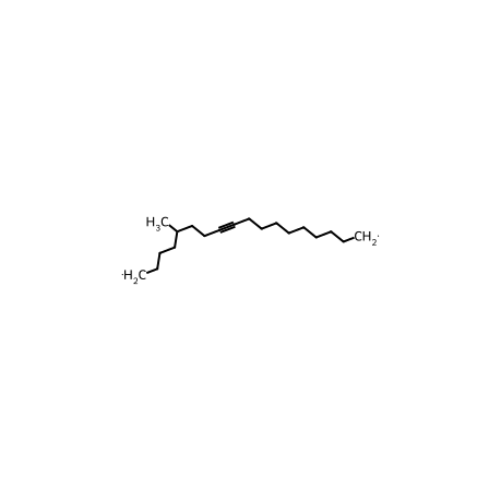 [CH2]CCCCCCCCC#CCCC(C)CCC[CH2]